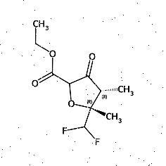 CCOC(=O)C1O[C@@](C)(C(F)F)[C@@H](C)C1=O